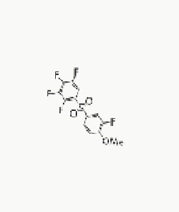 COc1ccc(S(=O)(=O)c2cc(F)c(F)c(F)c2F)cc1F